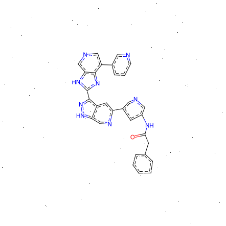 O=C(Cc1ccccc1)Nc1cncc(-c2cc3c(-c4nc5c(-c6cccnc6)cncc5[nH]4)n[nH]c3cn2)c1